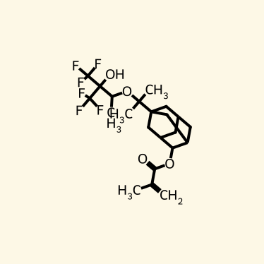 C=C(C)C(=O)OC1C2CC3CC1CC(C(C)(C)OC(C)C(O)(C(F)(F)F)C(F)(F)F)(C3)C2